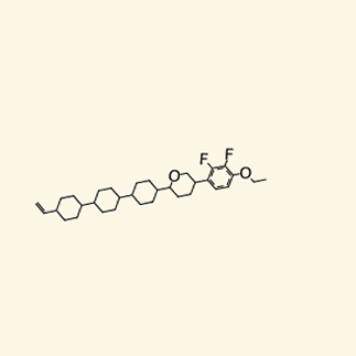 C=CC1CCC(C2CCC(C3CCC(C4CCC(c5ccc(OCC)c(F)c5F)CO4)CC3)CC2)CC1